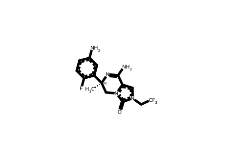 C[C@@]1(c2cc(N)ccc2F)Cn2c(cn(CC(F)(F)F)c2=O)C(N)=N1